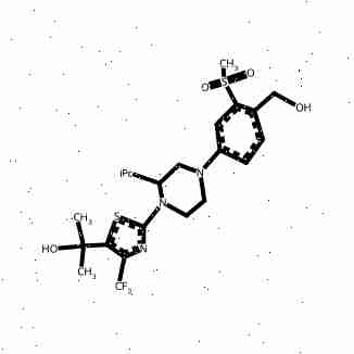 CC(C)C1CN(c2ccc(CO)c(S(C)(=O)=O)c2)CCN1c1nc(C(F)(F)F)c(C(C)(C)O)s1